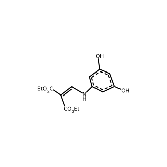 CCOC(=O)C(=CNc1cc(O)cc(O)c1)C(=O)OCC